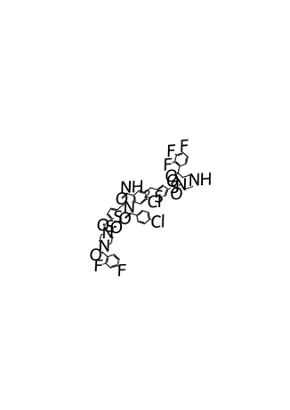 NC(=O)c1cc(Cc2cc(S(=O)(=O)N3CCNCC3C(=O)c3ccc(F)c(F)c3F)cs2)c(Cl)cc1N(Cc1ccc(S(=O)(=O)N2CCN(C(=O)c3ccc(F)cc3F)CC2)s1)C(=O)c1ccc(Cl)cc1